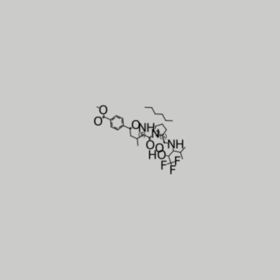 CCCCCC.COC(=O)c1ccc(C(=O)CC(C)[C@H](N)C(=O)N2CCC[C@H]2C(=O)NC(C(C)C)C(O)C(F)(F)F)cc1